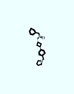 CCN(Cc1ccccc1)C[C@H]1C[C@H](c2ccc(CN3CCCC3)cc2)C1